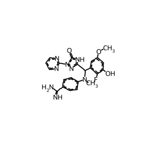 COc1cc(O)c(F)c(C(c2nn(-c3ncccn3)c(=O)[nH]2)N(C)c2ccc(C(=N)N)cc2)c1